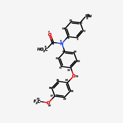 CC(C)(C)c1ccc(N(C(=O)C(=O)O)c2ccc(Oc3ccc(OC(F)(F)F)cc3)cc2)cc1